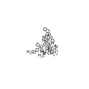 COc1ccc(C(OC[C@H]2O[C@@H](n3cnc4c(N(Cc5cccc6ccccc56)C(=O)COc5ccccc5)ncnc43)C(OC)C2OP(OCCC#N)N(C(C)C)C(C)C)(c2ccccc2)c2ccc(OC)cc2)cc1